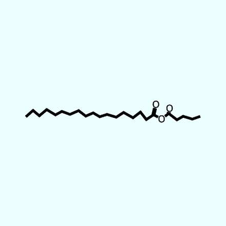 CCCCCCCCCCCCCCCCCC(=O)OC(=O)CCCC